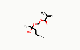 C=C(C)C(=O)OCOC(C)(O)C=CC